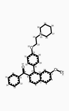 CCOc1ccc2ccc(C(=O)c3ccccc3)c(-c3ccc(OCCN4CCCCC4)cc3)c2c1